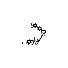 CC(C)(CCCCOc1cccc(-c2ccc(-c3ccc4c(c3)OCO4)cc2)n1)C(=O)NC(Cc1ccc(O)cc1)C(=O)O